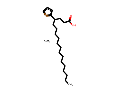 CCCCCCCCCCCCCCC(CCC(=O)O)c1cccs1.[CaH2]